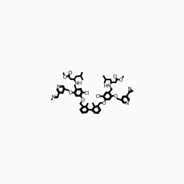 C/N=C/c1cncc(COc2cc(OCc3cccc(-c4cccc(COc5cc(OCc6cncc(C7=NC7)c6)c(CNC(CC(=O)OC)CC(C)C)cc5Cl)c4C)c3C)c(Cl)cc2CNC(CC(=O)OC)CC(C)C)c1